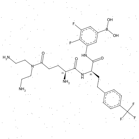 NCCN(CCN)C(=O)CC[C@H](N)C(=O)N[C@H](CCc1ccc(C(F)(F)F)cc1)C(=O)Nc1cc(B(O)O)cc(F)c1F